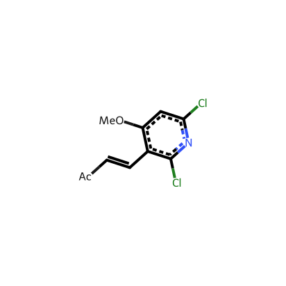 COc1cc(Cl)nc(Cl)c1C=CC(C)=O